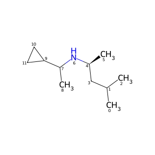 CC(C)C[C@H](C)NC(C)C1CC1